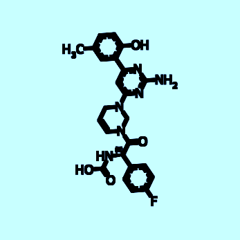 Cc1ccc(O)c(-c2cc(N3CC=CN(C(=O)[C@H](NC(=O)O)c4ccc(F)cc4)C3)nc(N)n2)c1